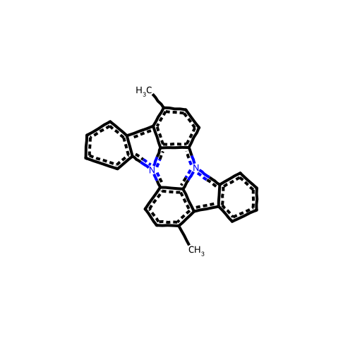 Cc1ccc2c3c1c1ccccc1n3c1ccc(C)c3c4ccccc4n2c31